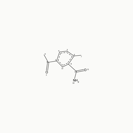 CC(=O)c1ccc(C)c(C(N)=O)c1